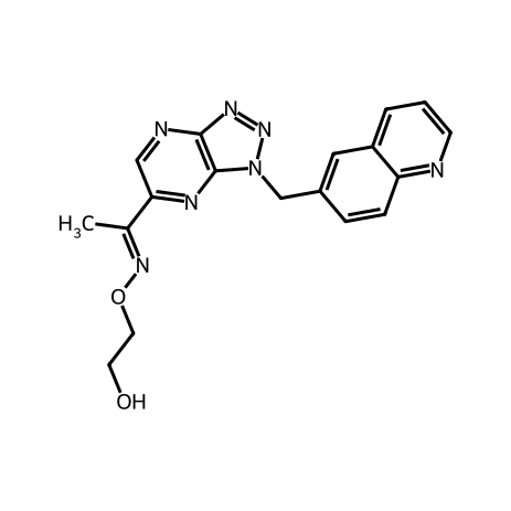 CC(=NOCCO)c1cnc2nnn(Cc3ccc4ncccc4c3)c2n1